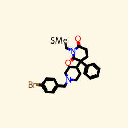 CSCN1C(=O)CCC(c2ccccc2)(C2CCN(Cc3ccc(Br)cc3)CC2)C1=O